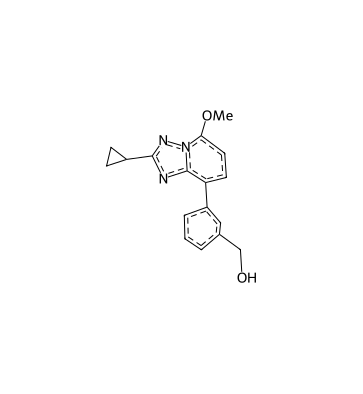 COc1ccc(-c2cccc(CO)c2)c2nc(C3CC3)nn12